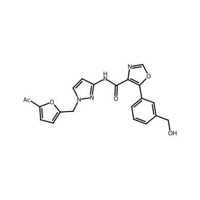 CC(=O)c1ccc(Cn2ccc(NC(=O)c3ncoc3-c3cccc(CO)c3)n2)o1